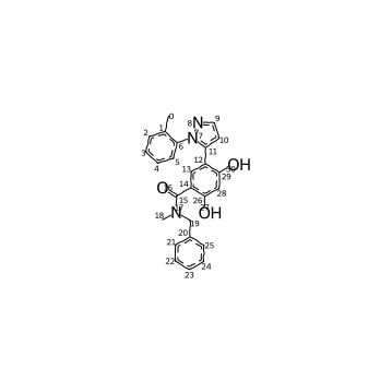 Cc1ccccc1-n1nccc1-c1cc(C(=O)N(C)Cc2ccccc2)c(O)cc1O